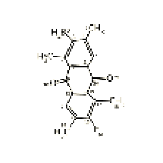 Bc1c(C)cc2c(c1C)C(=O)c1cc(C)c(F)c(C)c1C2=O